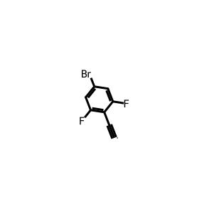 [C]#Cc1c(F)cc(Br)cc1F